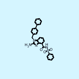 Nc1nc2c(C(=O)NS(=O)(=O)c3ccccc3)cccc2n1Cc1ccc(-c2ccccc2)cc1